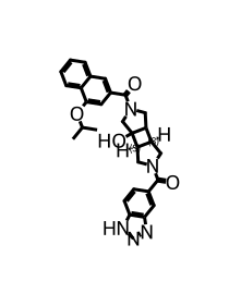 CC(C)Oc1cc(C(=O)N2CC3[C@H]4CN(C(=O)c5ccc6[nH]nnc6c5)C[C@H]4C3(O)C2)cc2ccccc12